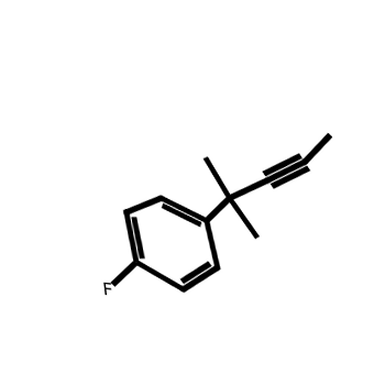 CC#CC(C)(C)c1ccc(F)cc1